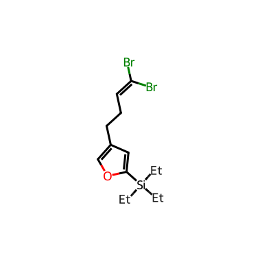 CC[Si](CC)(CC)c1cc(CCC=C(Br)Br)co1